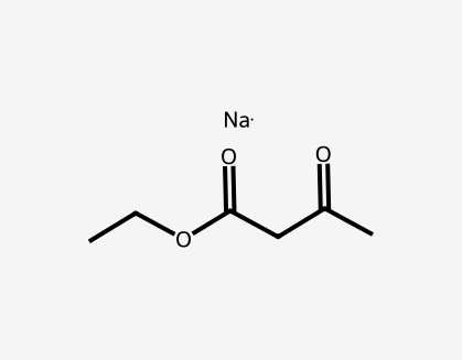 CCOC(=O)CC(C)=O.[Na]